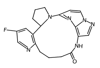 O=C1CCCc2ncc(F)cc2C2CCCN2c2ccn3ncc(c3n2)N1